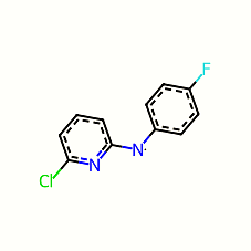 Fc1ccc([N]c2cccc(Cl)n2)cc1